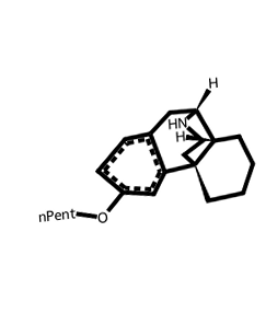 CCCCCOc1ccc2c(c1)[C@@]13CCCC[C@H]1[C@@H](C2)NCC3